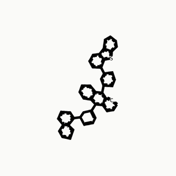 C1=CC(c2cccc3ccccc23)CC(c2c3ccccc3c(-c3cccc(-c4cccc5c4sc4ccccc45)c3)c3ccccc23)=C1